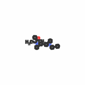 C=C/C=C(\c1c(C)oc2ccccc12)n1c2ccccc2c2cc(-c3ccc4c(c3)c3ccccc3n4-c3cccc(-c4ccccc4)c3)ccc21